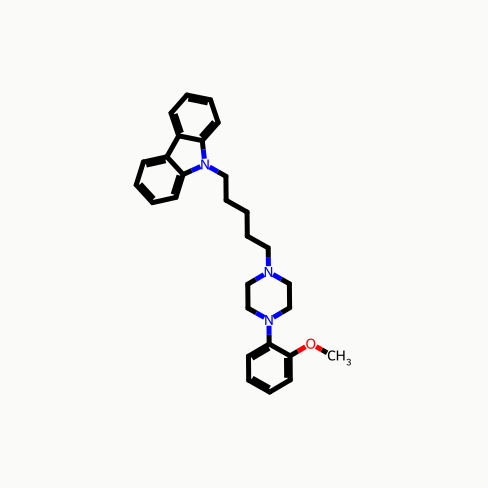 COc1ccccc1N1CCN(CCCCCn2c3ccccc3c3ccccc32)CC1